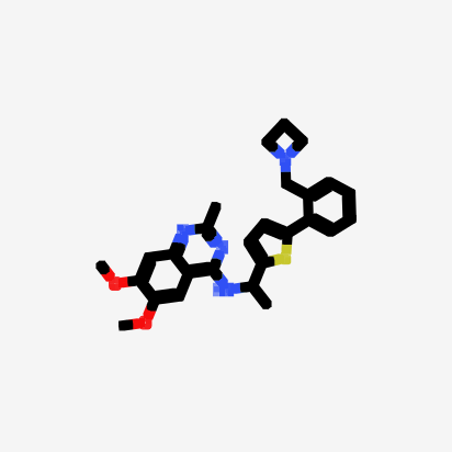 COc1cc2nc(C)nc(NC(C)c3ccc(-c4ccccc4CN4CCC4)s3)c2cc1OC